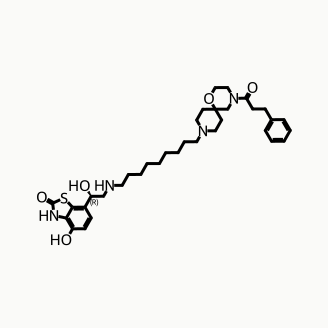 O=C(CCc1ccccc1)N1CCOC2(CCN(CCCCCCCCCNC[C@H](O)c3ccc(O)c4[nH]c(=O)sc34)CC2)C1